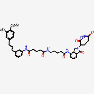 COc1ccc(CC[CH]c2cccc(NC(=O)CCCC(=O)NCCCCC(=O)Nc3cccc4c3CN(C3CCC(=O)NC3=O)C4=O)c2)cc1OC